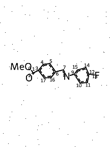 COC(=O)c1ccc(C=Nc2ccc(F)cc2)cc1